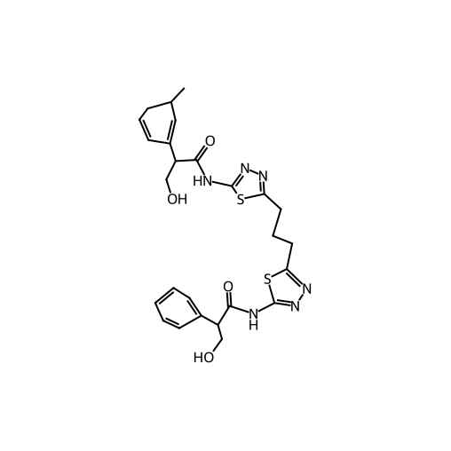 CC1C=C(C(CO)C(=O)Nc2nnc(CCCc3nnc(NC(=O)C(CO)c4ccccc4)s3)s2)C=CC1